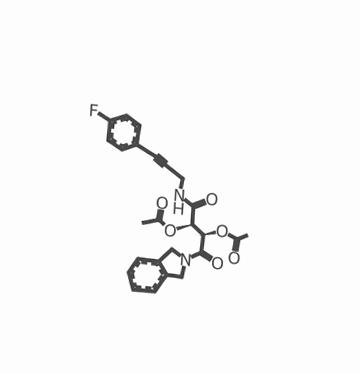 CC(=O)O[C@@H](C(=O)NCC#Cc1ccc(F)cc1)[C@@H](OC(C)=O)C(=O)N1Cc2ccccc2C1